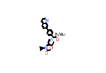 CNC(=O)C(c1ccc(-c2ccc3cccnc3c2)cc1)N1CCC2(CC1)CN(C1CC1)C(=O)CO2